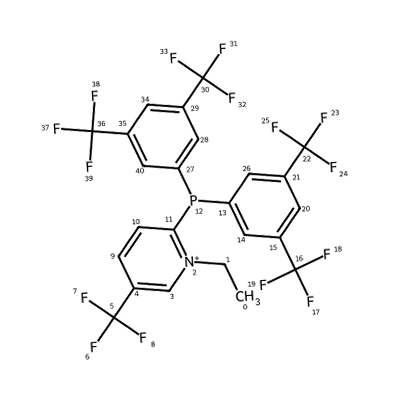 CC[n+]1cc(C(F)(F)F)ccc1P(c1cc(C(F)(F)F)cc(C(F)(F)F)c1)c1cc(C(F)(F)F)cc(C(F)(F)F)c1